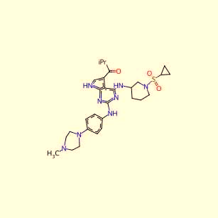 CC(C)C(=O)c1c[nH]c2nc(Nc3ccc(N4CCN(C)CC4)cc3)nc(NC3CCCN(S(=O)(=O)C4CC4)C3)c12